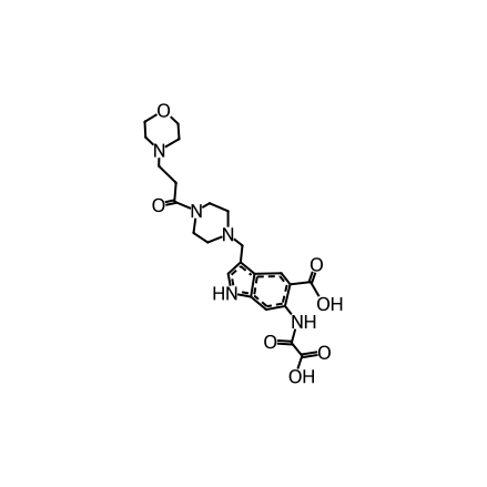 O=C(O)C(=O)Nc1cc2[nH]cc(CN3CCN(C(=O)CCN4CCOCC4)CC3)c2cc1C(=O)O